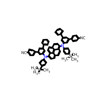 [C-]#[N+]c1ccc(-c2cc(-c3ccccc3)cc(N(c3ccc([Si](C)(C)C)cc3)c3ccc4ccc5c(N(c6ccc([Si](C)(C)C)cc6)c6cc(-c7ccccc7)cc(-c7ccc(C#N)cc7)c6)ccc6ccc3c4c65)c2)cc1